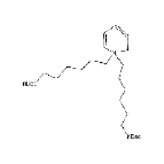 CCCCCCCCCCCCCCCC[N+]1(CCCCCCCCCCCCCCCC)C=CC=CC1